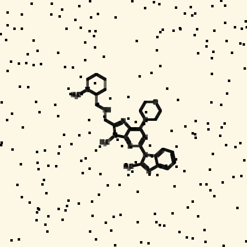 Cc1nc2ccccc2n1-c1nc(N2CCOCC2)c2nc(CNCC3CCCCN3C)n(C)c2n1